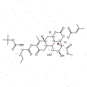 CC[C@H](C)[C@H](NC(=O)OC(C)(C)C)C(=O)OC1=C(C)[C@@H]2C[C@H]3OC(=O)[C@H](OC(=O)C=C(C)C)[C@H]4[C@]5(C(=O)OC)OC[C@]34C([C@@H](O)[C@@H]5O)[C@@]2(C)CC1=O